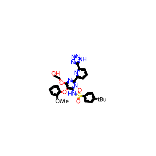 COc1ccccc1Oc1c(NS(=O)(=O)c2ccc(C(C)(C)C)cc2)nc(-c2cccc(-c3nnn[nH]3)n2)nc1OCCO